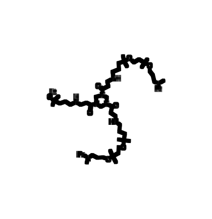 CCOC(C)(C)CCCNCCC(=O)N1CN(C(=O)CCNCCCC(C)(C)OCCC(C)(C)OCCCN(C)CC)CN(C(=O)CCNCCCC(C)(C)OCCC(C)(C)OCCCN(C)C(C)C)C1